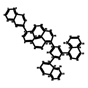 c1cnc2ccc(-c3ccc4ccc5c(-c6cc(-c7cccc8cccnc78)cc(-c7cccc8cccnc78)c6)ccc6ccc3c4c65)cc2c1